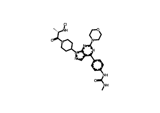 CNC(=O)Nc1ccc(-c2nc(N3CCOCC3)nc3c2cnn3C2CCN(C(=O)[C@H](C)NCl)CC2)cc1